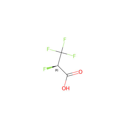 O=C(O)[C@@H](F)C(F)(F)F